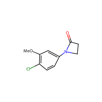 COc1cc(N2CCC2=O)ccc1Cl